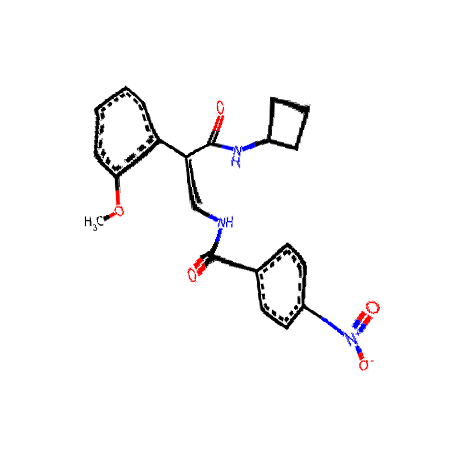 COc1ccccc1C(=CNC(=O)c1ccc([N+](=O)[O-])cc1)C(=O)NC1CCC1